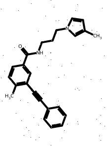 Cc1ccn(CCCNC(=O)c2ccc(C)c(C#Cc3ccccc3)c2)c1